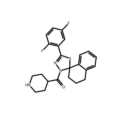 O=C(C1CCNCC1)N1N=C(c2cc(F)ccc2F)SC12CCCc1ccccc12